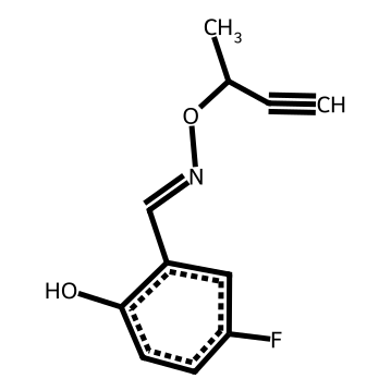 C#CC(C)ON=Cc1cc(F)ccc1O